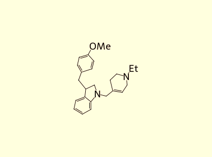 CCN1CC=C(CN2CC(Cc3ccc(OC)cc3)c3ccccc32)CC1